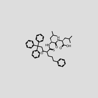 CC(C)C[C@H](NC(=O)[C@H](CC(C)C)NC(=S)C(CCCc1ccccc1)C(=O)CC(c1ccccc1)(c1ccccc1)c1ccccc1)C(=O)O